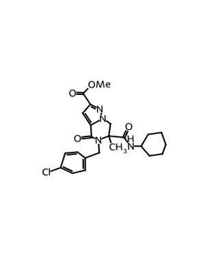 COC(=O)c1cc2n(n1)CC(C)(C(=O)NC1CCCCC1)N(Cc1ccc(Cl)cc1)C2=O